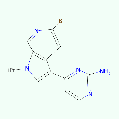 CC(C)n1cc(-c2ccnc(N)n2)c2cc(Br)ncc21